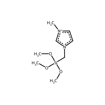 CO[Si](Cn1cc[n+](C)c1)(OC)OC